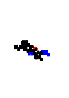 CC(CCN)NC(=O)c1ccc(N(C)C)cc1